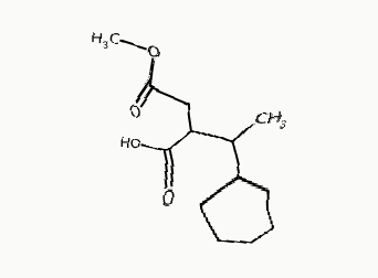 COC(=O)CC(C(=O)O)C(C)C1CCCCC1